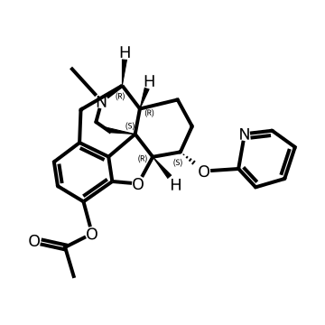 CC(=O)Oc1ccc2c3c1O[C@H]1[C@@H](Oc4ccccn4)CC[C@H]4[C@@H](C2)N(C)CC[C@@]341